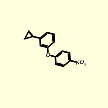 O=[N+]([O-])c1ccc(Oc2cccc(C3CC3)c2)cc1